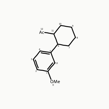 COc1cccc(C2CCCCC2C(C)=O)c1